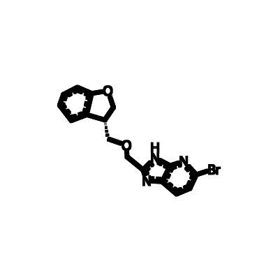 Brc1ccc2nc(COC[C@H]3COc4ccccc43)[nH]c2n1